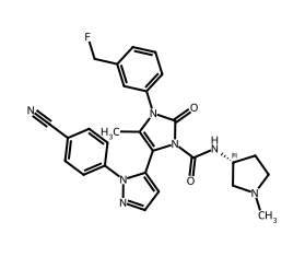 Cc1c(-c2ccnn2-c2ccc(C#N)cc2)n(C(=O)N[C@@H]2CCN(C)C2)c(=O)n1-c1cccc(CF)c1